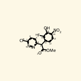 COC(=O)C(c1ccc(Cl)nn1)c1ccc([N+](=O)[O-])c(O)c1F